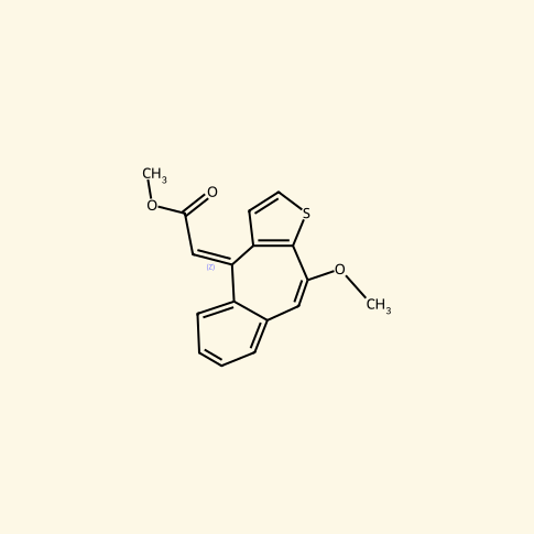 COC(=O)/C=C1/c2ccccc2C=C(OC)c2sccc21